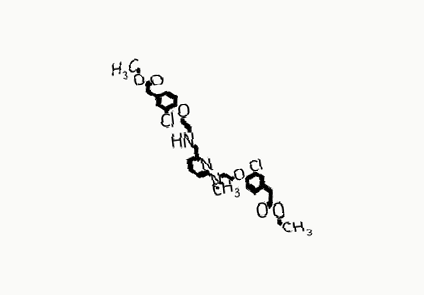 CCOC(=O)Cc1ccc(OCCNCc2cccc(N(C)CCOc3ccc(CC(=O)OCC)cc3Cl)n2)c(Cl)c1